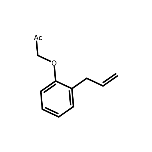 C=CCc1ccccc1OCC(C)=O